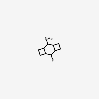 CNC1C2CCC2C(F)C2CCC21